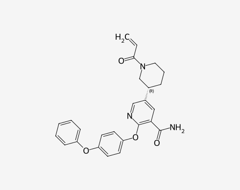 C=CC(=O)N1CCC[C@H](c2cnc(Oc3ccc(Oc4ccccc4)cc3)c(C(N)=O)c2)C1